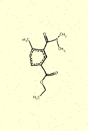 CCOC(=O)c1ccc(C)c(C(=O)N(C)C)c1